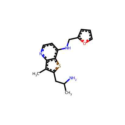 Cc1c(CC(C)N)sc2c(NCc3ccco3)ccnc12